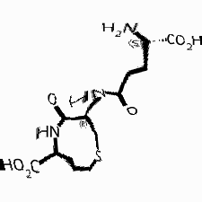 N[C@@H](CCC(=O)N[C@H]1CSCCC(C(=O)O)NC1=O)C(=O)O